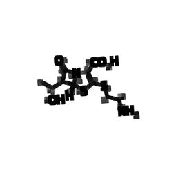 CC(O)C1C(=O)N2C(C(=O)O)=C(SCCN)S[C@H]12